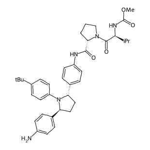 COC(=O)N[C@H](C(=O)N1CCC[C@H]1C(=O)Nc1ccc([C@@H]2CC[C@@H](c3ccc(N)cc3)N2c2ccc(C(C)(C)C)cc2)cc1)C(C)C